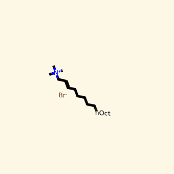 CCCCCCCCCCCCC/C=C/C[N+](C)(C)C.[Br-]